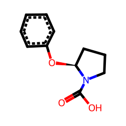 O=C(O)N1CCC[C@@H]1Oc1ccccc1